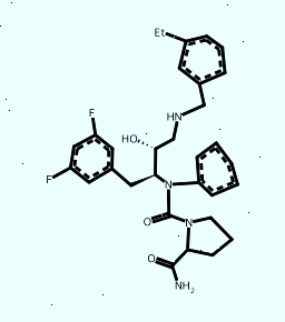 CCc1cccc(CNC[C@@H](O)[C@H](Cc2cc(F)cc(F)c2)N(C(=O)N2CCCC2C(N)=O)c2ccccc2)c1